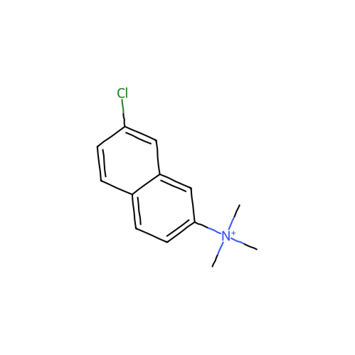 C[N+](C)(C)c1ccc2ccc(Cl)cc2c1